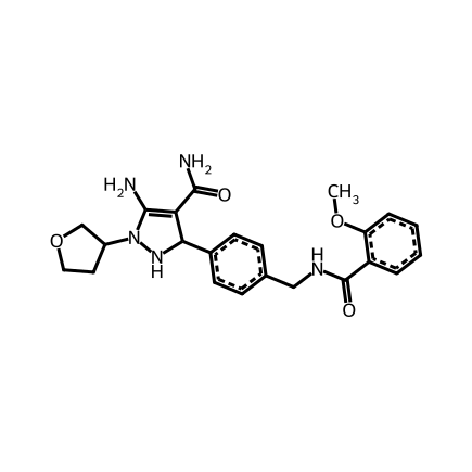 COc1ccccc1C(=O)NCc1ccc(C2NN(C3CCOC3)C(N)=C2C(N)=O)cc1